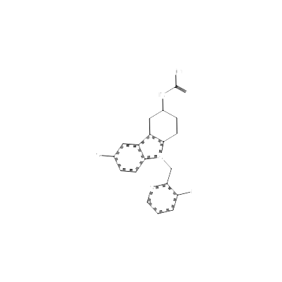 CC(C)C(=O)NC1CCc2c(c3cc(N)ccc3n2Cc2ncccc2F)C1